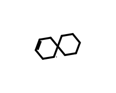 [CH]1CC=CCC12CCCCC2